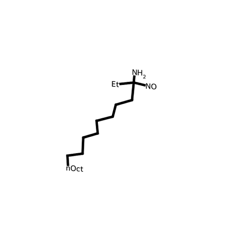 CCCCCCCCCCCCCCCCC(N)(CC)N=O